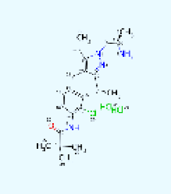 CCc1nn(C[C@@H](C)N)c(CC)c1Cc1ccc(NC(=O)C(C)(C)C)c(Cl)c1.Cl.Cl